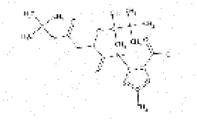 Cc1cc(C(=O)O)c(NC(=O)C(CC(=O)OC(C)(C)C)O[Si](C)(C)C(C)(C)C)s1